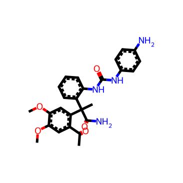 COc1cc(C(C)=O)c(C(C)(C(N)=O)c2ccccc2NC(=O)Nc2ccc(N)cc2)cc1OC